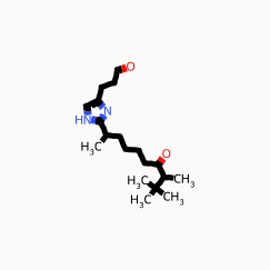 CC(CCCCC(=O)C(C)C(C)(C)C)c1nc(CCC=O)c[nH]1